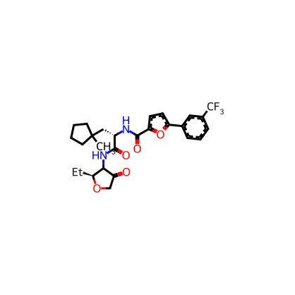 CC[C@@H]1OCC(=O)C1NC(=O)[C@H](CC1(C)CCCC1)NC(=O)c1ccc(-c2cccc(C(F)(F)F)c2)o1